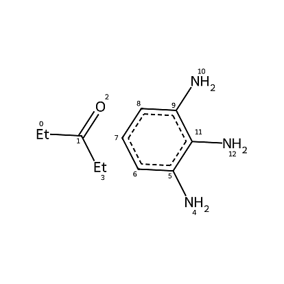 CCC(=O)CC.Nc1cccc(N)c1N